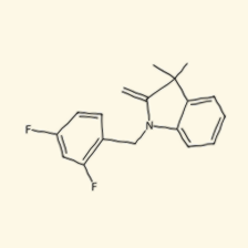 C=C1N(Cc2ccc(F)cc2F)c2ccccc2C1(C)C